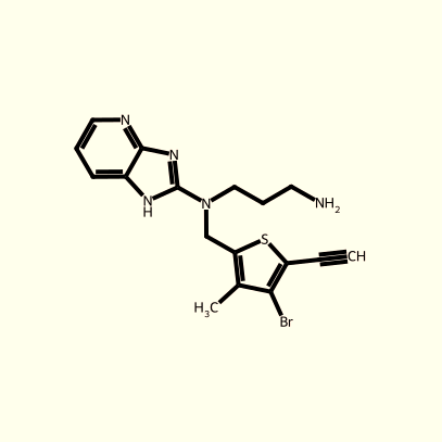 C#Cc1sc(CN(CCCN)c2nc3ncccc3[nH]2)c(C)c1Br